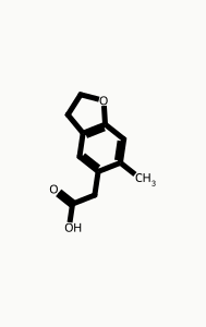 Cc1cc2c(cc1CC(=O)O)CCO2